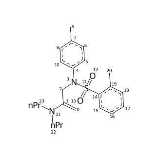 C=C(CN(c1ccc(C)cc1)S(=O)(=O)c1ccccc1C)N(CCC)CCC